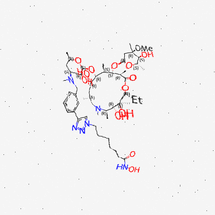 CC[C@H]1OC(=O)[C@H](C)[C@@H](O[C@H]2C[C@@](C)(OC)[C@@H](O)[C@H](C)O2)[C@H](C)[C@@H](O[C@@H]2O[C@H](C)C[C@H](N(C)Cc3cccc(-c4cn(CCCCCCC(=O)NO)nn4)c3)[C@H]2O)[C@](C)(O)C[C@@H](C)CN(C)[C@H](C)[C@@H](O)[C@]1(C)O